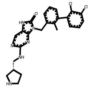 Cc1c(Cn2c(=O)[nH]c3cnc(NC[C@@H]4CCNC4)nc32)cccc1-c1cccc(Cl)c1Cl